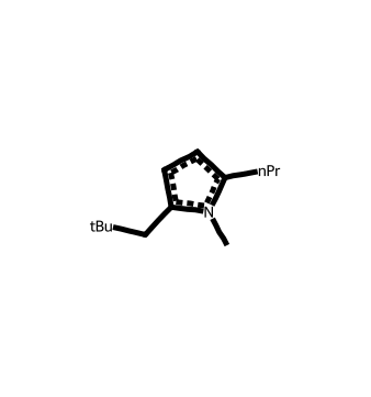 CCCc1ccc(CC(C)(C)C)n1C